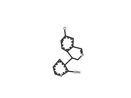 COc1ncccc1C1CN=Cc2cc(Cl)ccc21